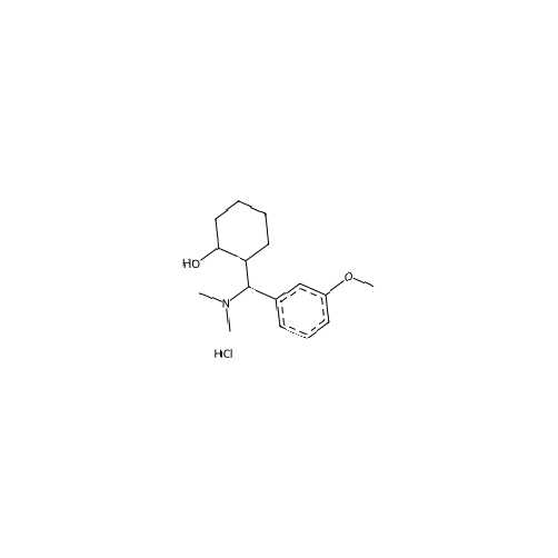 COc1cccc(C(C2CCCCC2O)N(C)C)c1.Cl